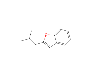 CC(C)Cc1cc2ccccc2o1